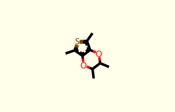 Cc1sc(C)c2c1OC(C)C(C)O2